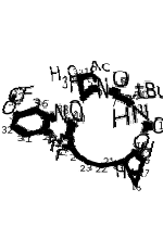 CC(=O)[C@@H]1[C@H](C)[C@@H]2CN1C(=O)[C@H](C(C)(C)C)NC(=O)O[C@@H]1CC3CC3[C@H]1CCCCC(F)(F)c1nc3ccc(OC(F)(F)F)cc3nc1O2